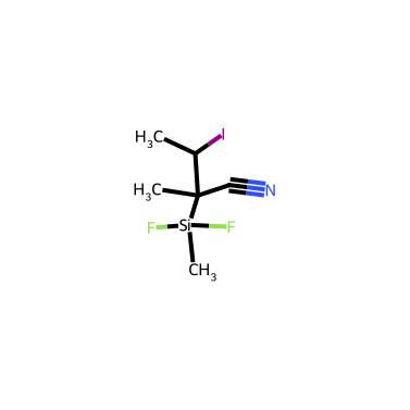 CC(I)C(C)(C#N)[Si](C)(F)F